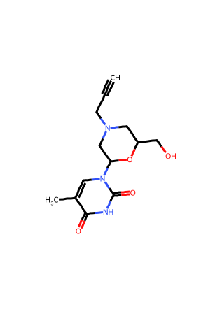 C#CCN1CC(CO)OC(n2cc(C)c(=O)[nH]c2=O)C1